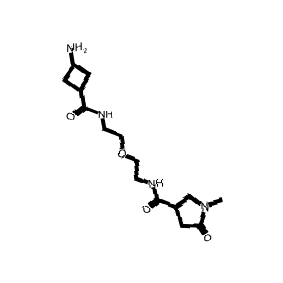 CN1CC(C(=O)NCCOCCNC(=O)C2CC(N)C2)CC1=O